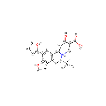 CC(C)(C)[C@@H]1Cc2c(cc(C3=CCCO3)c3c2CCO3)-c2cc(=O)c(C(=O)O)cn21